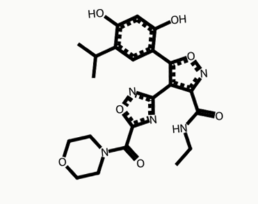 CCNC(=O)c1noc(-c2cc(C(C)C)c(O)cc2O)c1-c1noc(C(=O)N2CCOCC2)n1